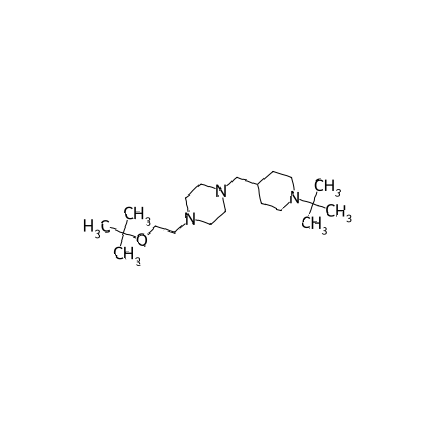 CC(C)(C)OCCN1CCN(CC2CCN(C(C)(C)C)CC2)CC1